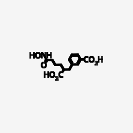 O=C(CCCC(Cc1cccc(C(=O)O)c1)C(=O)O)NO